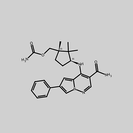 CC1(C)[C@@H](Nc2c(C(N)=O)cnn3cc(-c4ccccc4)cc23)CC[C@]1(C)COC(N)=O